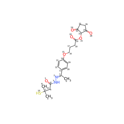 C/C(=N\NC(=O)CC(C)(C)S)c1ccc(OCCCC(=O)OC2C(=O)CCC2=O)cc1